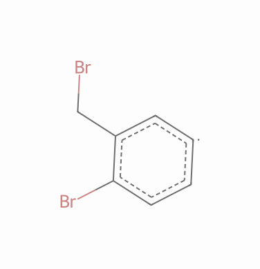 BrCc1c[c]ccc1Br